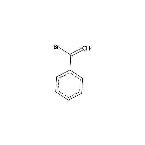 [CH]=C(Br)c1ccccc1